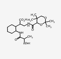 CCCCCCCCCCC(C)C(=O)NC1CCCCC1C(CNC(=O)C1OC(C)(C)OCC1(C)C)C(=O)O